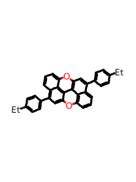 CCc1ccc(-c2cc3oc4cccc5c(-c6ccc(CC)cc6)cc6oc7cccc2c7c3-c6c45)cc1